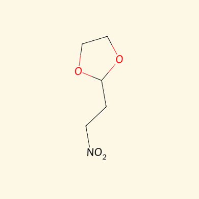 O=[N+]([O-])CCC1OCCO1